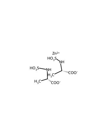 C[C@H](NS(=O)(=O)O)C(=O)[O-].C[C@H](NS(=O)(=O)O)C(=O)[O-].[Zn+2]